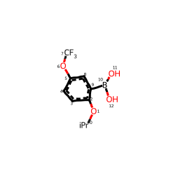 CC(C)Oc1ccc(OC(F)(F)F)cc1B(O)O